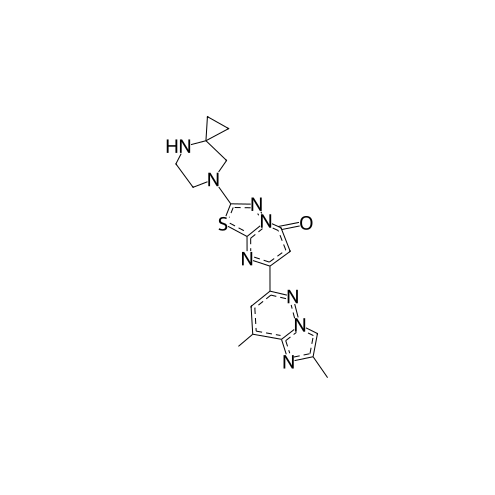 Cc1cn2nc(-c3cc(=O)n4nc(N5CCNC6(CC6)C5)sc4n3)cc(C)c2n1